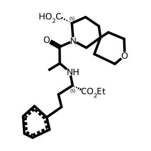 CCOC(=O)[C@H](CCc1ccccc1)NC(C)C(=O)N1CC2(CCOCC2)CC[C@H]1C(=O)O